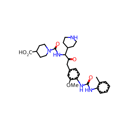 COc1cc(CC(=O)C(NC(=O)N2CCC(C(=O)O)CC2)C2CCNCC2)ccc1NC(=O)Nc1ccccc1C